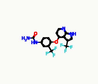 NC(=O)Nc1ccc(Oc2ccnc3[nH]cc(C(F)(F)F)c23)c(C(F)(F)F)c1